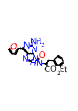 CCOC(=O)C(Cc1ccccc1)NC(=O)n1cnc2c(-c3ccco3)nc(N)nc21